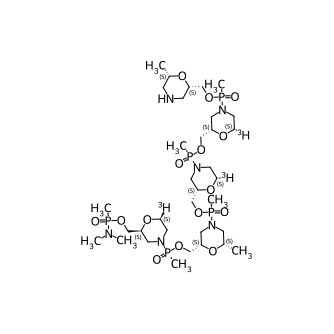 [3H][C@H]1CN(P(C)(=O)OC[C@@H]2CN(P(C)(=O)OC[C@@H]3CN(P(C)(=O)OC[C@@H]4CN(P(C)(=O)OC[C@@H]5CNC[C@H](C)O5)C[C@H]([3H])O4)C[C@H]([3H])O3)C[C@H](C)O2)C[C@@H](COP(C)(=O)N(C)C)O1